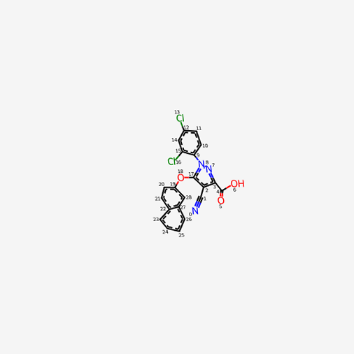 N#Cc1c(C(=O)O)nn(-c2ccc(Cl)cc2Cl)c1Oc1ccc2ccccc2c1